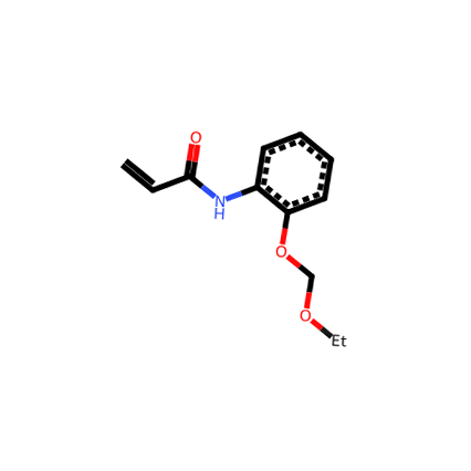 C=CC(=O)Nc1ccccc1OCOCC